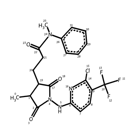 CC1C(=O)N(Nc2ccc(C(F)(F)F)c(Cl)n2)C(=O)C1CCC(=O)N(C)c1ccccc1